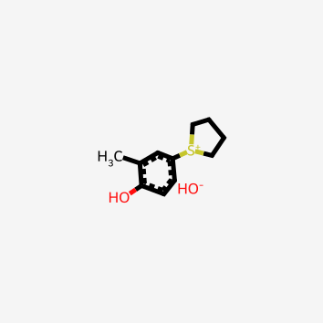 Cc1cc([S+]2CCCC2)ccc1O.[OH-]